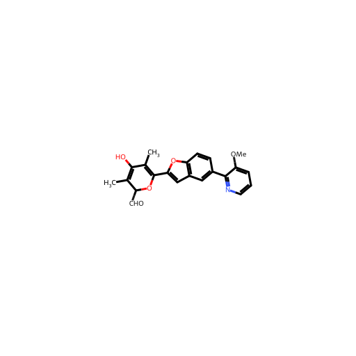 COc1cccnc1-c1ccc2oc(C3=C(C)C(O)=C(C)C(C=O)O3)cc2c1